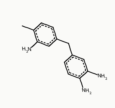 Cc1ccc(Cc2ccc(N)c(N)c2)cc1N